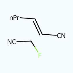 CCCC=CC#N.N#CCF